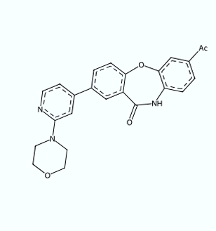 CC(=O)c1ccc2c(c1)Oc1ccc(-c3ccnc(N4CCOCC4)c3)cc1C(=O)N2